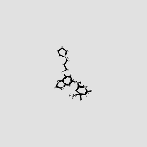 CC1=CC(C)(N)CC(Nc2cc(OCCCN3CCCC3)c3c(c2)OCO3)=N1